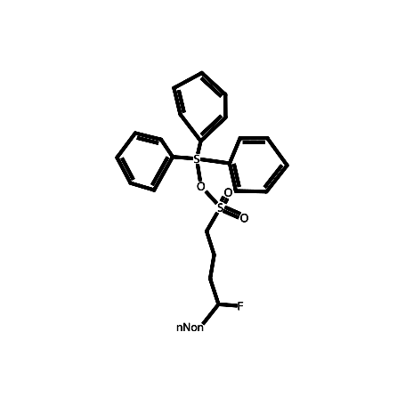 CCCCCCCCCC(F)CCCS(=O)(=O)OS(c1ccccc1)(c1ccccc1)c1ccccc1